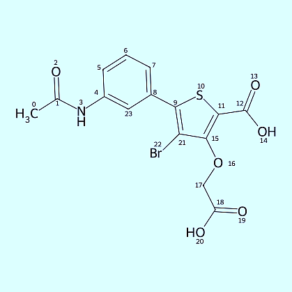 CC(=O)Nc1cccc(-c2sc(C(=O)O)c(OCC(=O)O)c2Br)c1